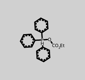 CCOC(=O)O[PH](c1ccccc1)(c1ccccc1)c1ccccc1